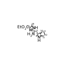 CCOC(=O)c1nc([C@H](N)Cc2c[nH]c3ccccc23)[nH]c1C